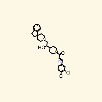 O=C(/C=C/c1ccc(Cl)c(Cl)c1)N1CCC(C(O)CN2CCC3(CCc4ccccc43)CC2)CC1